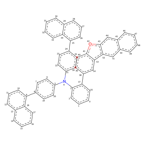 c1ccc(N(c2ccc(-c3cccc4ccccc34)cc2)c2ccc(-c3cccc4ccccc34)cc2)c(-c2ccc3oc4cc5ccccc5cc4c3c2)c1